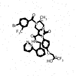 C[C@@H]1Cn2c(c(C(=O)NCc3ccccc3-c3cccnn3)n(-c3ccc(OC[C@H](O)C(F)(F)F)cc3)c2=O)CN1C(=O)c1ccc(Br)c(C(F)(F)F)c1